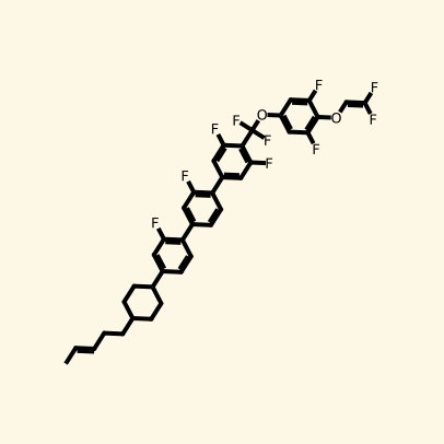 C/C=C/CCC1CCC(c2ccc(-c3ccc(-c4cc(F)c(C(F)(F)Oc5cc(F)c(OC=C(F)F)c(F)c5)c(F)c4)c(F)c3)c(F)c2)CC1